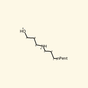 CCCCCCCCNCCCO